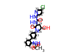 CS(=O)(=O)Nc1ccccc1-c1ccc(N2C[C@H](O)C[C@@H](NC(=O)Nc3ccc(Cl)cn3)C2=O)cc1